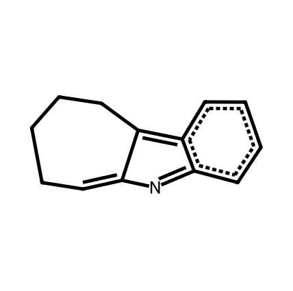 C1=C2N=c3ccccc3=C2CCCC1